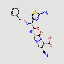 N#CC1=C(C(=O)O)N2C(=O)[C@@H](NC(=O)C(=NOCc3ccccc3)c3csc(N)n3)CN2C1